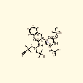 C#CC(C)(C)CC(CC(C)(C)C)NC(=O)[C@H](/C=C/[C@H](CC(C)C)NC(=O)OC(C)(C)C)Cc1ccccc1